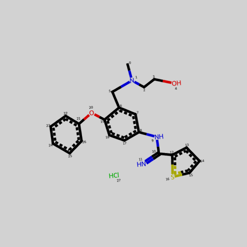 CN(CCO)Cc1cc(NC(=N)c2cccs2)ccc1Oc1ccccc1.Cl